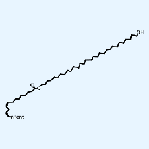 CCCCC/C=C\C/C=C\CCCCCCCC(=O)OCCCCCCCCCCCCCCCCCCCCCCCCCCCCCCO